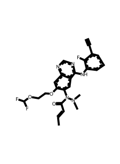 C#Cc1cccc(Nc2ncnc3cc(OCCOC(F)F)c(N(C(=O)/C=C/C)N(C)C)cc23)c1F